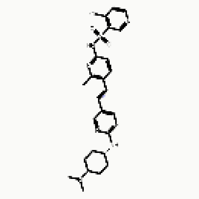 Cc1nc(NS(=O)(=O)c2cnccc2Cl)ccc1/C=C/c1cnc(N[C@H]2CC[C@H](N(C)C)CC2)nc1